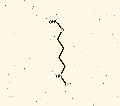 CCCNCCCCOC=O